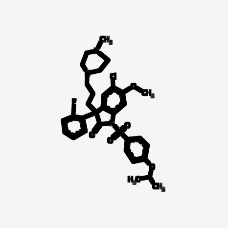 COc1cc2c(cc1Cl)C(CCCN1CCN(C)CC1)(c1ccccc1F)C(=O)N2S(=O)(=O)c1ccc(OC(C)C)cc1